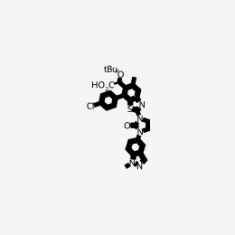 Cc1cc2nc(N3CCN(c4ccc5c(cnn5C)c4)C3=O)sc2c(-c2ccc(Cl)cc2)c1[C@H](OC(C)(C)C)C(=O)O